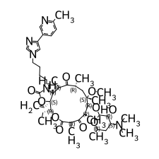 C=C[C@]12OC(=O)N(CCCCn3cnc(-c4ccc(C)nc4)c3)[C@@H]1[C@@H](C)C(=O)[C@H](C)C[C@](C)(OC)[C@H](OC1O[C@H](C)C[C@H](N(C)C)[C@H]1O)[C@@H](C)C(=O)[C@@H](C)C(=O)O[C@@H]2CC